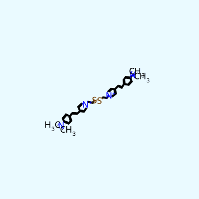 CN(C)c1ccc(/C=C/c2cc[n+](CCSSCC[n+]3ccc(/C=C/c4ccc(N(C)C)cc4)cc3)cc2)cc1